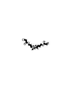 C[Si](C)(/C=C/COC(=O)CCl)O[Si](C)(C)/C=C/COC(=O)CCl